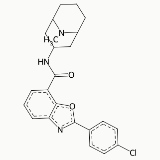 CN1C2CCCC1CC(NC(=O)c1cccc3nc(-c4ccc(Cl)cc4)oc13)C2